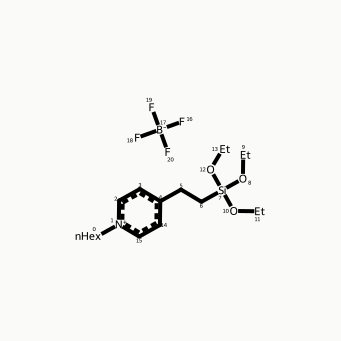 CCCCCC[n+]1ccc(CC[Si](OCC)(OCC)OCC)cc1.F[B-](F)(F)F